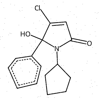 O=C1C=C(Cl)C(O)(c2ccccc2)N1C1CCCC1